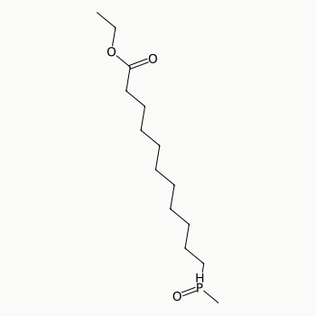 CCOC(=O)CCCCCCCCCC[PH](C)=O